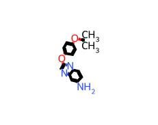 CC(C)Oc1ccc(Oc2cnc3cc(N)ccc3n2)cc1